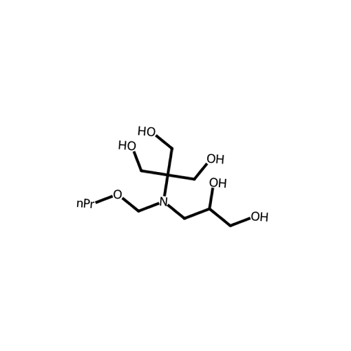 CCCOCN(CC(O)CO)C(CO)(CO)CO